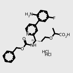 CC(OCC[C@H](NC(=O)OCc1ccccc1)c1cc(-c2cc(F)ccc2N)ccn1)C(=O)O.Cl.Cl